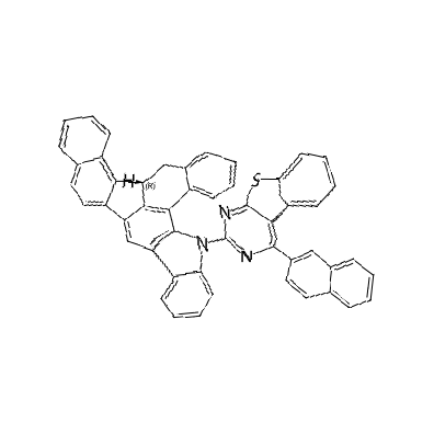 c1ccc2c(c1)C[C@@H]1c3c(cc4c5ccccc5n(-c5nc(-c6ccc7ccccc7c6)c6c(n5)sc5ccccc56)c4c3-2)-c2ccc3ccccc3c21